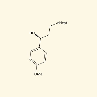 CCCCCCCCC[C@H](O)c1ccc(OC)cc1